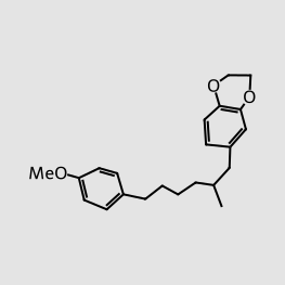 COc1ccc(CCCCC(C)Cc2ccc3c(c2)OCCO3)cc1